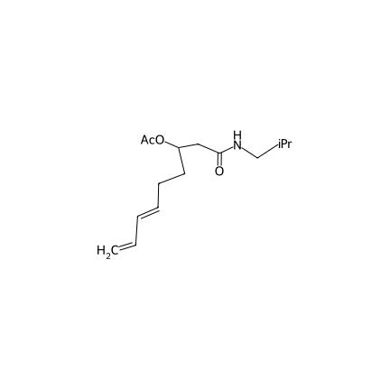 C=CC=CCCC(CC(=O)NCC(C)C)OC(C)=O